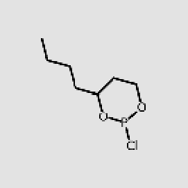 CCCCC1CCOP(Cl)O1